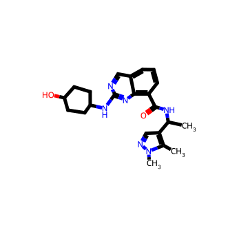 Cc1c(C(C)NC(=O)c2cccc3cnc(NC4CCC(O)CC4)nc23)cnn1C